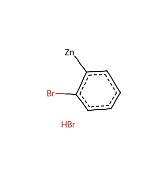 Br.[Zn][c]1ccccc1Br